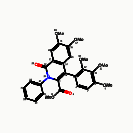 COC(=O)c1c(-c2ccc(OC)c(OC)c2OC)c2cc(OC)c(OC)cc2c(=O)n1-c1ccccc1